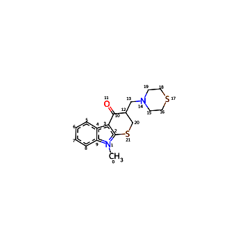 Cn1c2c(c3ccccc31)C(=O)C(CN1CCSCC1)CS2